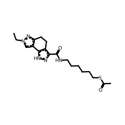 CCn1cc2c(n1)CCc1c(C(=O)NCCCCCCSC(C)=O)n[nH]c1-2